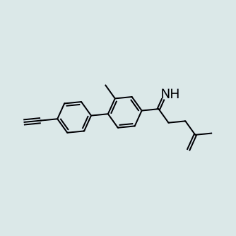 C#Cc1ccc(-c2ccc(C(=N)CCC(=C)C)cc2C)cc1